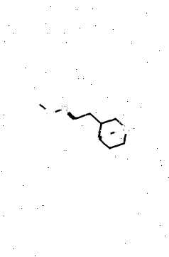 CON=CCC1CN2CCC1CC2.Cl